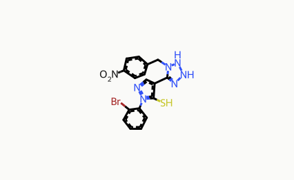 O=[N+]([O-])c1ccc(CN2NNN=C2c2cnn(-c3ccccc3Br)c2S)cc1